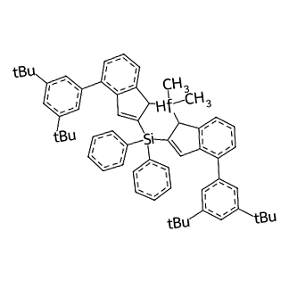 CC(C)(C)c1cc(-c2cccc3c2C=C2[CH]3[Hf]([CH3])([CH3])[CH]3C(=Cc4c(-c5cc(C(C)(C)C)cc(C(C)(C)C)c5)cccc43)[Si]2(c2ccccc2)c2ccccc2)cc(C(C)(C)C)c1